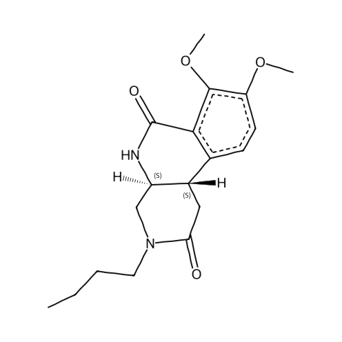 CCCCN1C[C@H]2NC(=O)c3c(ccc(OC)c3OC)[C@@H]2CC1=O